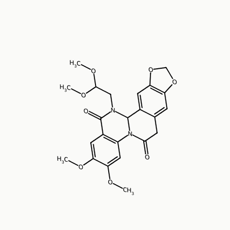 COc1cc2c(cc1OC)N1C(=O)Cc3cc4c(cc3C1N(CC(OC)OC)C2=O)OCO4